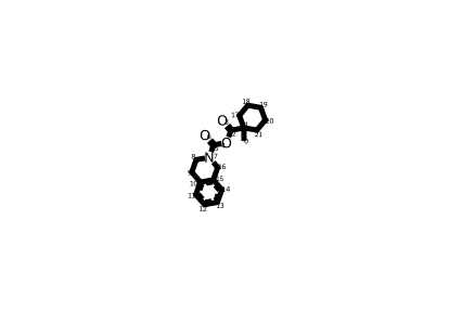 CC1(C(=O)OC(=O)N2CCc3ccccc3C2)CCCCC1